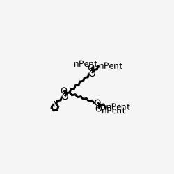 CCCCCC(CCCCC)CC(=O)OCCCCCCCCCC(CCCCCCCCCOC(=O)CC(CCCCC)CCCCC)C(=O)OCCCN1CCCCC1